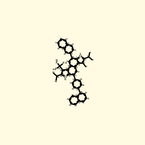 Cc1c(C(C)C)oc2c(-c3ccc4ccccc4c3)cc3c(cc(-c4ccc(-c5cccc6ccccc56)cc4)c4oc(C(C)C)c(C(F)(F)F)c43)c12